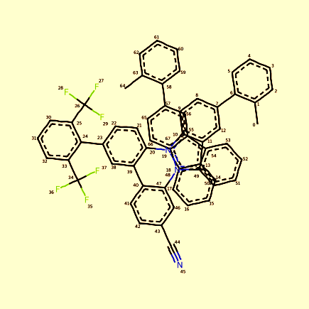 Cc1ccccc1-c1ccc2c(c1)c1ccccc1n2-c1ccc(-c2c(C(F)(F)F)cccc2C(F)(F)F)cc1-c1ccc(C#N)cc1-n1c2ccccc2c2cc(-c3ccccc3C)ccc21